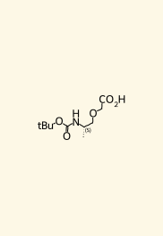 C[C@@H](COCC(=O)O)NC(=O)OC(C)(C)C